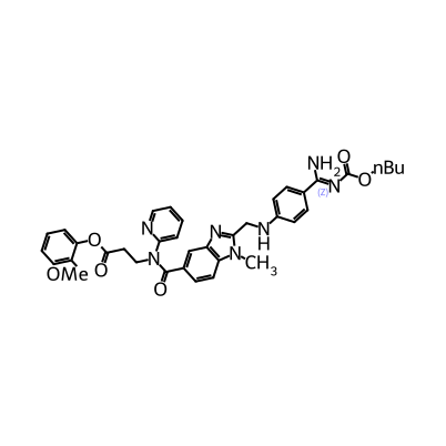 CCCCOC(=O)/N=C(\N)c1ccc(NCc2nc3cc(C(=O)N(CCC(=O)Oc4ccccc4OC)c4ccccn4)ccc3n2C)cc1